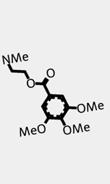 CNCCOC(=O)c1cc(OC)c(OC)c(OC)c1